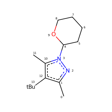 Cc1nn(C2CCCCO2)c(C)c1C(C)(C)C